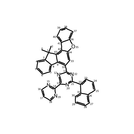 CC1(C)c2ccccc2-c2c(-c3nc(-c4ncccn4)nc(-c4cccc5ccccc45)n3)cc3oc4ccccc4c3c21